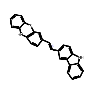 C(=C\c1ccc2[nH]c3ccccc3c2c1)/c1ccc2c(c1)Sc1ccccc1N2